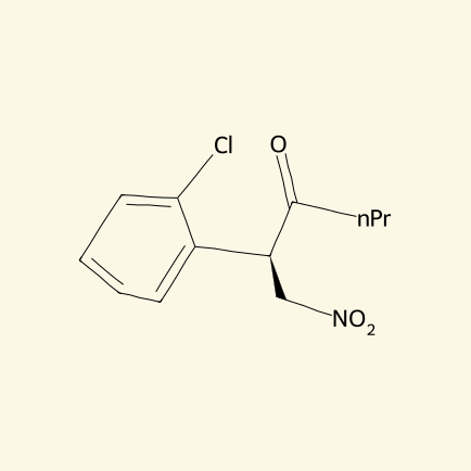 CCCC(=O)[C@@H](C[N+](=O)[O-])c1ccccc1Cl